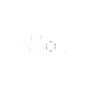 Cc1ccc(C2CSCC(P(O)O)C2)cc1